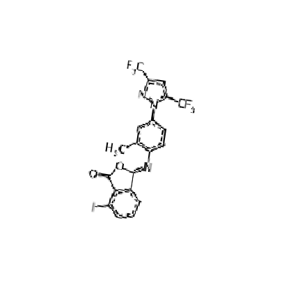 Cc1cc(-n2nc(C(F)(F)F)cc2C(F)(F)F)ccc1N=C1OC(=O)c2c(I)cccc21